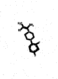 CC/C(C)=C(/N)N1CCN(c2ccc(F)cc2F)CC1